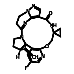 C=C1[C@@H]2CCN3C4=Nc5c(cnn5CC4)C(=O)NC4(CC4)COc4ncc(F)cc4[C@@]123